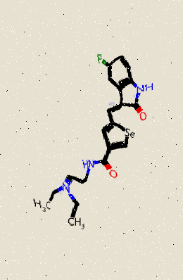 CCN(CC)CCNC(=O)c1c[se]c(/C=C2\C(=O)Nc3ccc(F)cc32)c1